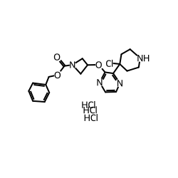 Cl.Cl.Cl.O=C(OCc1ccccc1)N1CC(Oc2nccnc2C2(Cl)CCNCC2)C1